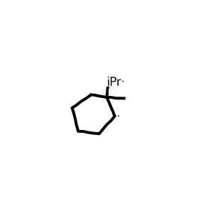 C[C](C)C1(C)[CH]CCCC1